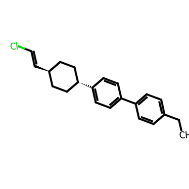 CCc1ccc(-c2ccc([C@H]3CC[C@H](/C=C/Cl)CC3)cc2)cc1